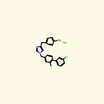 Cc1cc(Cn2cnc(Cc3ccc(C#N)cc3)c2)ccc1-c1cccc(Cl)c1.Cl